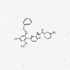 CCN1CCCC(Nc2nc3nc(-c4c(OCc5ccccc5)cc(Cl)cc4OC(F)(F)F)ccc3o2)C1